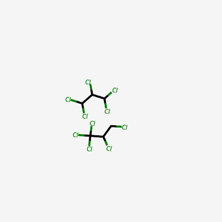 ClC(Cl)C(Cl)C(Cl)Cl.ClCC(Cl)C(Cl)(Cl)Cl